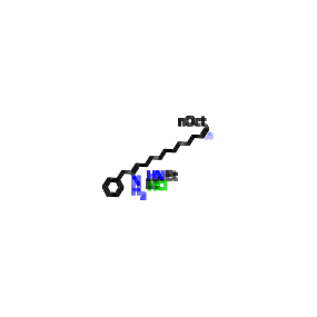 CCCCCCCC/C=C\CCCCCCCCC=C(N)Cc1ccccc1.CCNCC.Cl